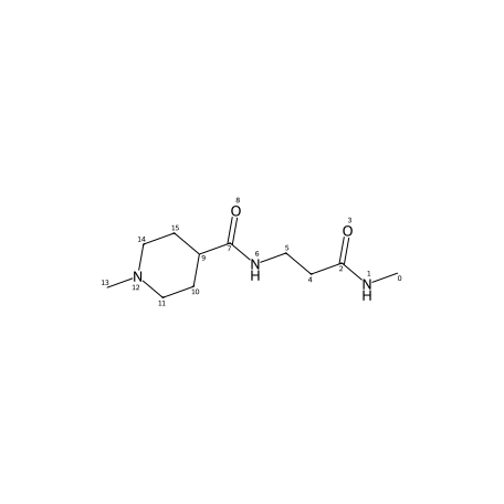 CNC(=O)CCNC(=O)C1CCN(C)CC1